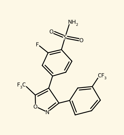 NS(=O)(=O)c1ccc(-c2c(-c3cccc(C(F)(F)F)c3)noc2C(F)(F)F)cc1F